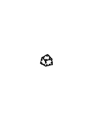 [C]=c1c2cccc1c2